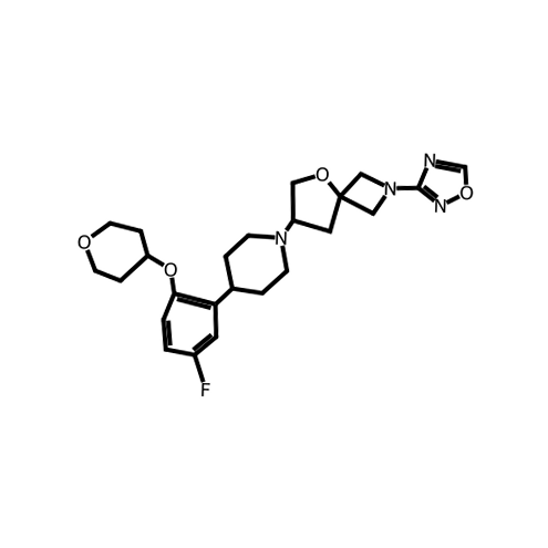 Fc1ccc(OC2CCOCC2)c(C2CCN(C3COC4(C3)CN(c3ncon3)C4)CC2)c1